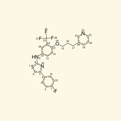 Fc1ccc(-c2csc(Nc3ccc(OCCCc4cccnc4)c(C(F)(F)F)c3)n2)cc1